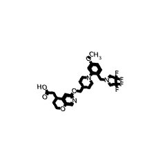 COc1ccc(CN2CC(F)(F)C(F)(F)C2)c(N2CCC(COc3cc4c(cn3)OCCC4CC(=O)O)CC2)c1